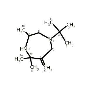 C=C1CN(C(C)(C)C)CC(C)NC1(C)C